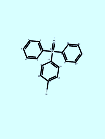 O=P(c1ccccc1)(c1ccccc1)c1ccc(F)cc1